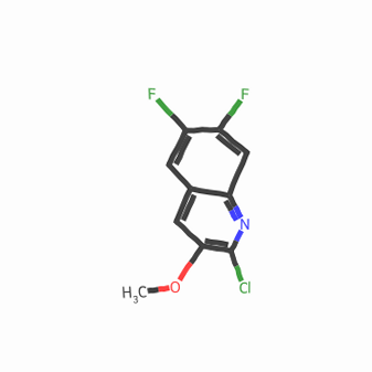 COc1cc2cc(F)c(F)cc2nc1Cl